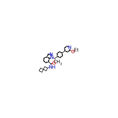 CCOc1cc(-c2ccc([C@H](C)n3ncc4cccc(C(=O)NC5CC6(CCC6)C5)c43)cc2)ccn1